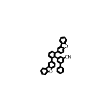 N#Cc1cc(-c2ccccc2)cc(-c2c(-c3ccc4oc5ccccc5c4c3)cccc2-c2ccc3oc4ccccc4c3c2)c1